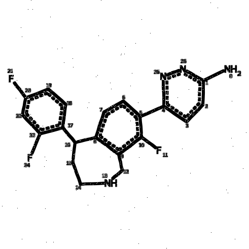 Nc1ccc(-c2ccc3c(c2F)CNCCC3c2ccc(F)cc2F)nn1